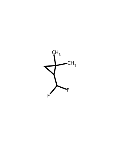 CC1(C)[CH]C1C(F)F